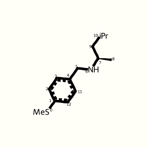 CSc1ccc(CN[C@H](C)CC(C)C)cc1